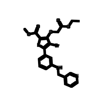 CCOC(=O)COc1c(C(=O)OC)sc(-c2cccc(NCc3cccnc3)c2)c1Br